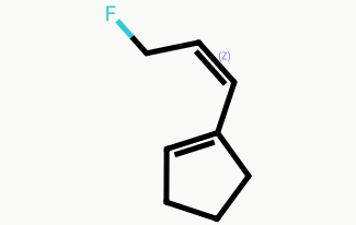 FC/C=C\C1=CCCC1